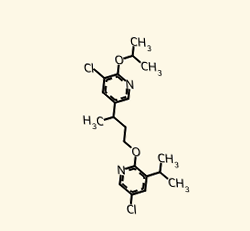 CC(C)Oc1ncc(C(C)CCOc2ncc(Cl)cc2C(C)C)cc1Cl